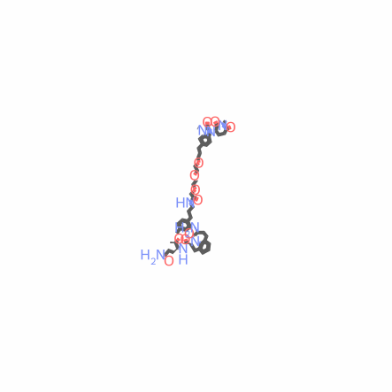 C[C@@H](OCc1ccc(CCCNC(=O)COCCOCCOCCCc2ccc3c(c2)n(C)c(=O)n3C2CCC(=O)N(C)C2=O)cc1)[C@H](CCC(N)=O)NC(=O)[C@@H]1Cc2cccc3c2N1C(=O)[C@@H](N)CC3